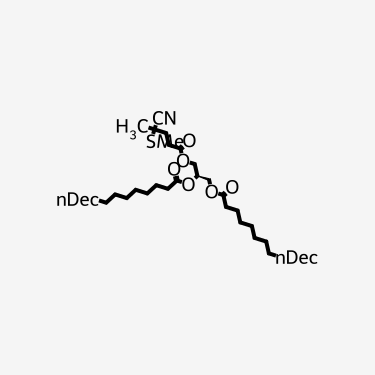 CCCCCCCCCCCCCCCCCC(=O)OC[C@H](COC(=O)CCC(C)(C#N)SC)OC(=O)CCCCCCCCCCCCCCCCC